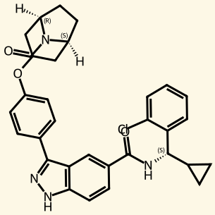 O=CN1[C@@H]2CC[C@H]1CC(Oc1ccc(-c3n[nH]c4ccc(C(=O)N[C@H](c5ccccc5Cl)C5CC5)cc34)cc1)C2